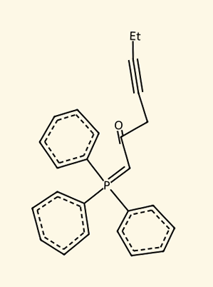 CCC#CCC(=O)C=P(c1ccccc1)(c1ccccc1)c1ccccc1